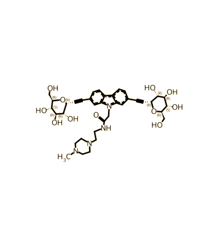 CN1CCN(CCNC(=O)Cn2c3cc(C#C[C@H]4O[C@H](CO)[C@@H](O)[C@H](O)[C@H]4O)ccc3c3ccc(C#C[C@H]4O[C@H](CO)[C@@H](O)[C@H](O)[C@H]4O)cc32)CC1